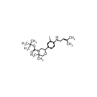 CC(C)=CCNc1ccc(C2CN(C(=O)OC(C)(C)C)C(C)(C)CO2)cc1I